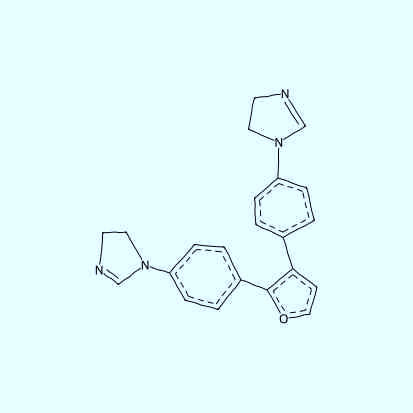 C1=NCCN1c1ccc(-c2ccoc2-c2ccc(N3C=NCC3)cc2)cc1